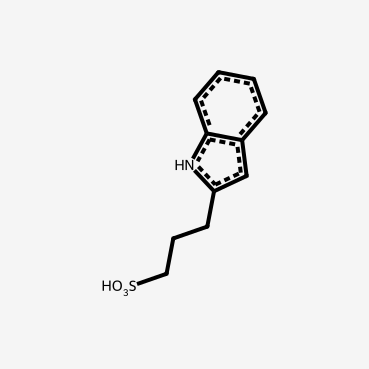 O=S(=O)(O)CCCc1cc2ccccc2[nH]1